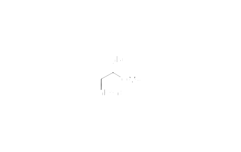 CCCCCC[C@H](CCCC)OC